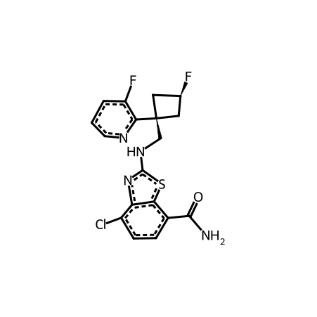 NC(=O)c1ccc(Cl)c2nc(NC[C@]3(c4ncccc4F)C[C@H](F)C3)sc12